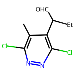 CCC(C=O)c1c(Cl)nnc(Cl)c1C